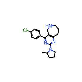 CC1CCCN1c1nc2c(c(-c3ccc(Cl)cc3)n1)CNCCC2